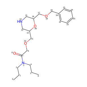 CCCN(CCC)C(=O)COCC1CNCC(COCc2ccccc2)O1